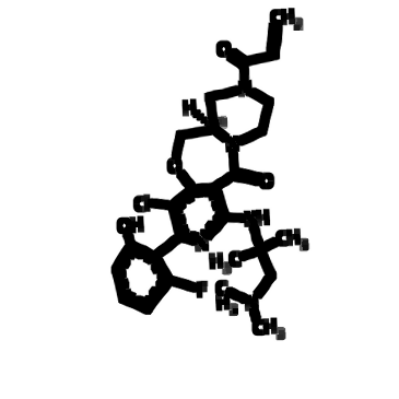 C=CC(=O)N1CCN2C(=O)c3c(NC(C)(C)CN(C)C)nc(-c4c(O)cccc4F)c(Cl)c3OC[C@H]2C1